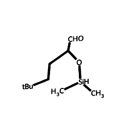 C[SiH](C)OC(C=O)CCC(C)(C)C